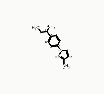 CCC(C)c1ccc(-n2ccc(N)n2)cc1